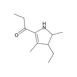 CCC(=O)C1=C(C)C(CC)C(C)N1